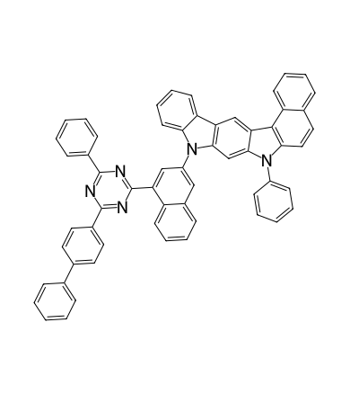 c1ccc(-c2ccc(-c3nc(-c4ccccc4)nc(-c4cc(-n5c6ccccc6c6cc7c8c9ccccc9ccc8n(-c8ccccc8)c7cc65)cc5ccccc45)n3)cc2)cc1